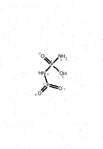 NP(=O)(O)NP(=O)=O